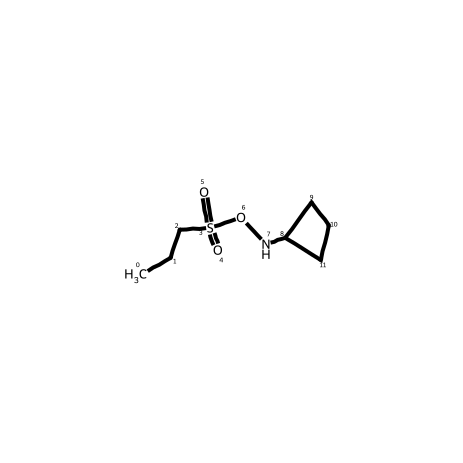 CCCS(=O)(=O)ONC1CCC1